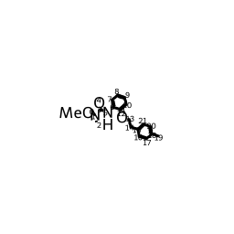 CON(C)C(=O)Nc1ccccc1OCCc1ccc(C)cc1